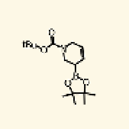 CC(C)(C)OC(=O)N1CC=CC(B2OC(C)(C)C(C)(C)O2)C1